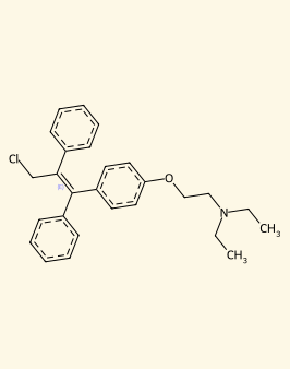 CCN(CC)CCOc1ccc(/C(=C(/CCl)c2ccccc2)c2ccccc2)cc1